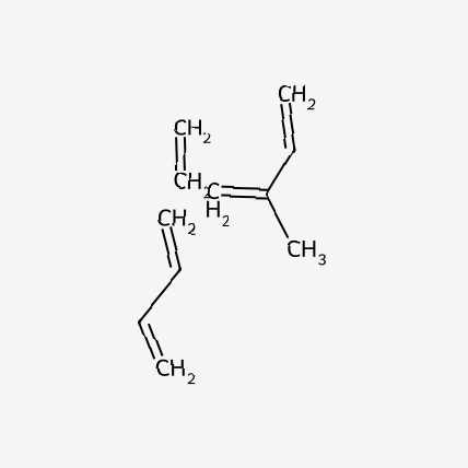 C=C.C=CC(=C)C.C=CC=C